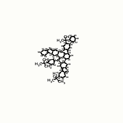 CC(C)(C)c1ccc(N2B3c4cc5c(cc4-n4c6cc7c(cc6c6ccc(c3c64)-c3cc4sc6ccc(C(C)(C)C)cc6c4cc32)-c2ccccc2C7(C)C)sc2ccccc25)cc1